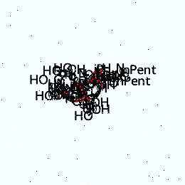 CCCCC[C@@H](N)C(=O)N[C@@H](CCCCC)C(=O)OCOC(=O)N(C)[C@H](CC(C)C)C(=O)N[C@H]1C(=O)C[C@@H](CC(N)=O)C(=O)N[C@H]2C(=O)C[C@H]3C(=O)N[C@H](C(=O)N[C@H](C(=O)O)c4cc(O)cc5c4-c4cc3ccc4C5(O)O)[C@H](O[C@H]3C[C@](C)(N)[C@@H](O)[C@H](C)O3)c3ccc(c(Cl)c3)Oc3cc2cc(c3O[C@@H]2O[C@H](CO)[C@@H](O)[C@H](O)[C@H]2O[C@H]2C[C@](C)(NCc3ccc(-c4ccc(Cl)cc4)cc3)[C@@H](O)[C@H](C)O2)Oc2ccc(cc2Cl)[C@H]1O